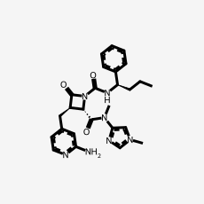 CCC[C@@H](NC(=O)N1C(=O)[C@H](Cc2ccnc(N)c2)[C@H]1C(=O)N(C)c1cn(C)cn1)c1ccccc1